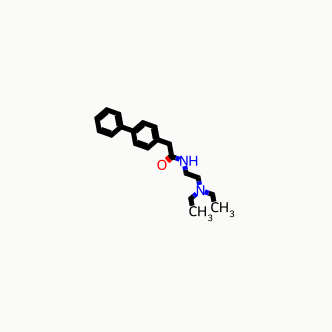 CCN(CC)CCNC(=O)Cc1ccc(-c2ccccc2)cc1